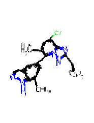 CCc1nc2c(Cl)cc(C)c(-c3cc(C)c4[nH]ncc4c3)n2n1